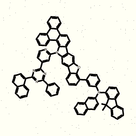 CC1(C)c2ccccc2-c2cccc(N(c3cccc(-c4cccc5c4oc4cc6c7ccc8c9ccccc9c9ccccc9c8c7n(-c7cc(-c8nc(-c9ccccc9)nc(-c9cccc%10ccccc9%10)n8)ccn7)c6cc45)c3)c3ccc4ccccc4c3)c21